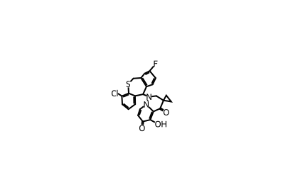 O=C1c2c(O)c(=O)ccn2N(C2c3ccc(F)cc3CSc3c(Cl)cccc32)CC12CC2